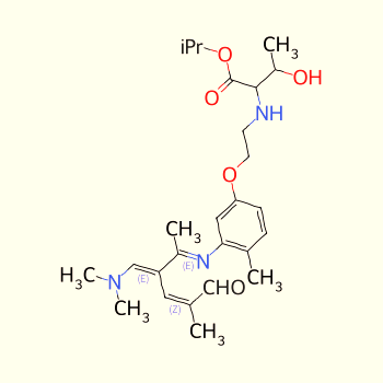 C/C(C=O)=C/C(=C\N(C)C)C(/C)=N/c1cc(OCCNC(C(=O)OC(C)C)C(C)O)ccc1C